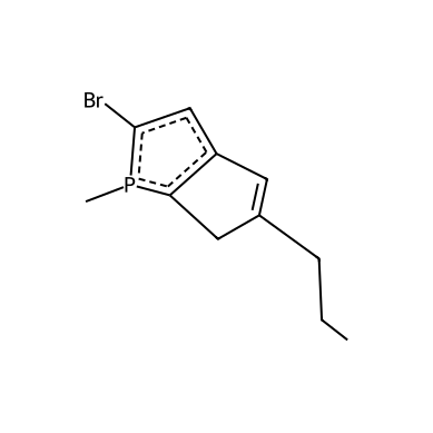 CCCC1=Cc2cc(Br)p(C)c2C1